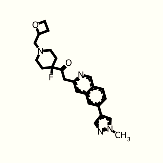 Cn1cc(-c2ccc3cnc(CC(=O)C4(F)CCN(CC5CCO5)CC4)cc3c2)cn1